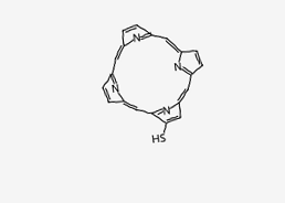 SC1=CC2=CC3=NC(=CC4=NC(=CC5=NC(=CC1=N2)C=C5)C=C4)C=C3